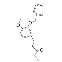 CCC(=O)CCc1ccc(OC)c(OCc2ccccc2)c1